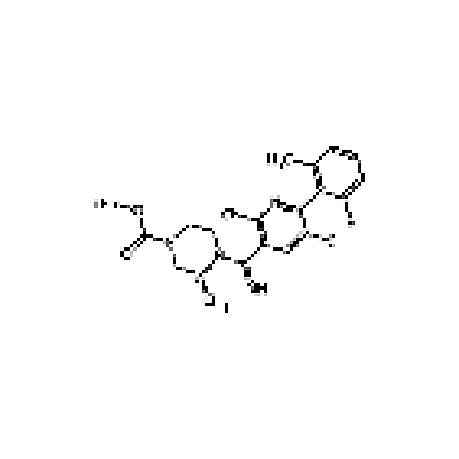 Cc1cccc(F)c1-c1nc(Cl)c(C(=N)N2CCN(C(=O)OC(C)(C)C)C[C@@H]2C)cc1Cl